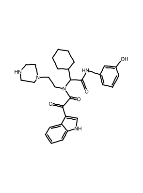 O=C(C(=O)N(CCN1CCNCC1)C(C(=O)Nc1cccc(O)c1)C1CCCCC1)c1c[nH]c2ccccc12